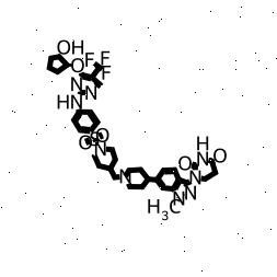 Cn1nc(N2CCC(=O)NC2=O)c2ccc(C3CCN(CC4CCN(S(=O)(=O)c5ccc(Nc6ncc(C(F)(F)F)c(O[C@H]7CCC[C@H]7O)n6)cc5)CC4)CC3)cc21